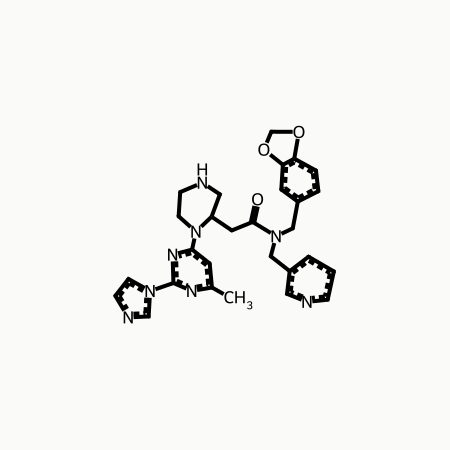 Cc1cc(N2CCNCC2CC(=O)N(Cc2cccnc2)Cc2ccc3c(c2)OCO3)nc(-n2ccnc2)n1